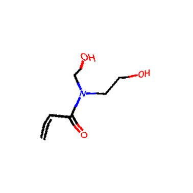 C=CC(=O)N(CO)CCO